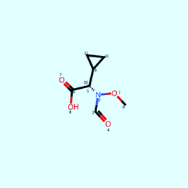 CON(C=O)[C@H](C(=O)O)C1CC1